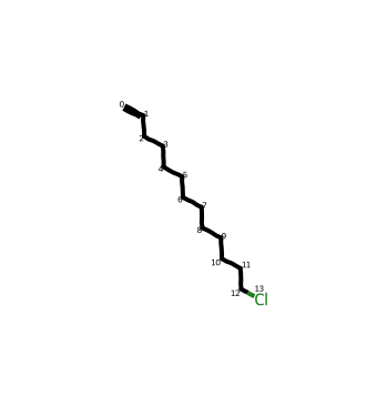 C=CCCCCCCCCCCCCl